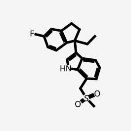 CCC1(c2c[nH]c3c(CS(C)(=O)=O)cccc23)CCc2cc(F)ccc21